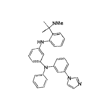 CNC(C)(C)c1ccccc1Nc1cccc(N(c2ccccc2)c2cccc(-n3ccnc3)c2)c1